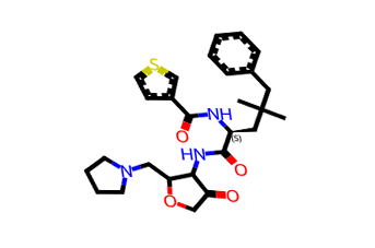 CC(C)(Cc1ccccc1)C[C@H](NC(=O)c1ccsc1)C(=O)NC1C(=O)COC1CN1CCCC1